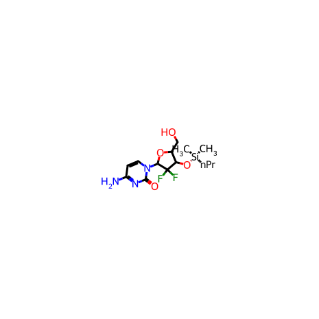 CCC[Si](C)(C)OC1C(CO)OC(n2ccc(N)nc2=O)C1(F)F